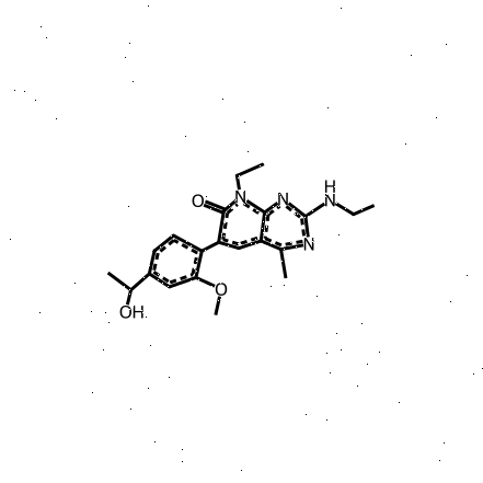 CCNc1nc(C)c2cc(-c3ccc(C(C)O)cc3OC)c(=O)n(CC)c2n1